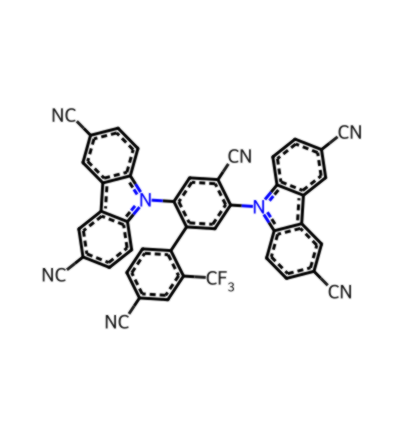 N#Cc1ccc(-c2cc(-n3c4ccc(C#N)cc4c4cc(C#N)ccc43)c(C#N)cc2-n2c3ccc(C#N)cc3c3cc(C#N)ccc32)c(C(F)(F)F)c1